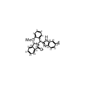 COc1ccccc1C(c1nc2ccc(F)cc2[nH]1)N1Cc2ccccc2C1=O